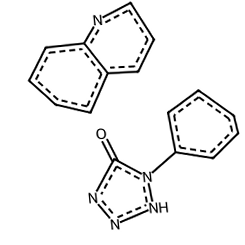 O=c1nn[nH]n1-c1ccccc1.c1ccc2ncccc2c1